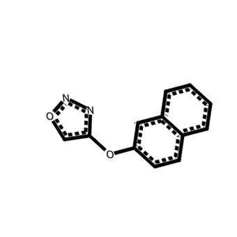 [c]1c(Oc2conn2)ccc2ccccc12